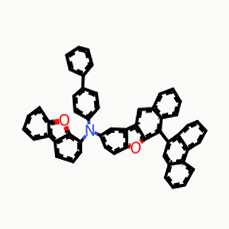 c1ccc(-c2ccc(N(c3ccc4oc5c(-c6cc7ccccc7c7ccccc67)c6ccccc6cc5c4c3)c3cccc4c3oc3ccccc34)cc2)cc1